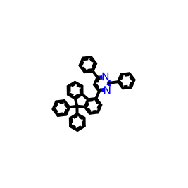 c1ccc(-c2cc(-c3cccc4c3-c3ccccc3C4(c3ccccc3)c3ccccc3)nc(-c3ccccc3)n2)cc1